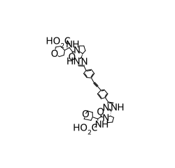 O=C(O)N[C@H](C(=O)N1CCC[C@H]1c1nc(-c2ccc(C#Cc3ccc(-c4c[nH]c([C@@H]5CCCN5C(=O)[C@@H](NC(=O)O)C5CCOCC5)n4)cc3)cc2)c[nH]1)C1CCOCC1